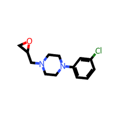 Clc1cccc(N2CCN(CC3CO3)CC2)c1